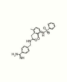 Cc1ccn(NS(=O)(=O)c2ccccc2)c(=O)c1CC(=O)NCc1ccc(C(=N)N)cc1